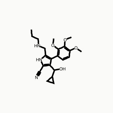 CCCNCc1[nH]c(C#N)c(C(O)C2CC2)c1-c1ccc(OC)c(OC)c1OC